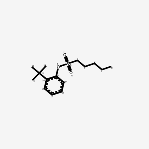 CCCCCS(=O)(=O)Oc1ccccc1C(C)(C)C